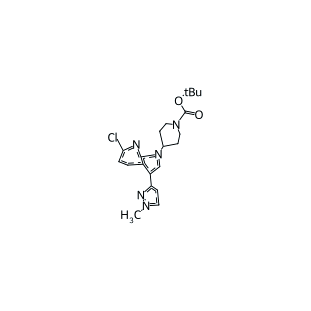 Cn1ccc(-c2cn(C3CCN(C(=O)OC(C)(C)C)CC3)c3nc(Cl)ccc23)n1